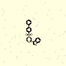 O=S(=O)(c1ccc(-c2ccccc2)cc1)N1CCO[C@H](c2csc3ccccc23)C1